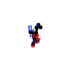 O=C(NS(=O)(=O)c1ccc(NCC2CCOCC2)c([N+](=O)[O-])c1)c1ccc(-c2cc3cc(N4CCCC4c4ccccc4)ccc3s2)cc1Oc1cnc2[nH]ccc2c1